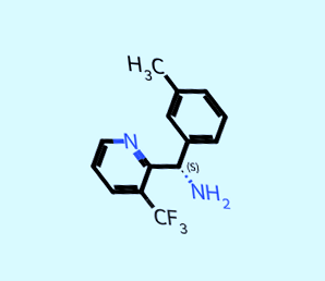 Cc1cccc([C@H](N)c2ncccc2C(F)(F)F)c1